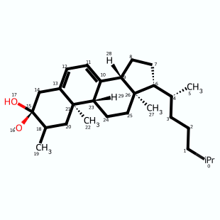 CC(C)CCC[C@@H](C)[C@H]1CC[C@H]2C3=CC=C4C[C@@]([O])(O)C(C)C[C@]4(C)[C@H]3CC[C@]12C